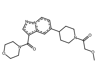 COCC(=O)N1CCC(c2ccn3ncc(C(=O)N4CCOCC4)c3c2)CC1